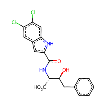 O=C(N[C@@H](C(=O)O)[C@@H](O)Cc1ccccc1)c1cc2cc(Cl)c(Cl)cc2[nH]1